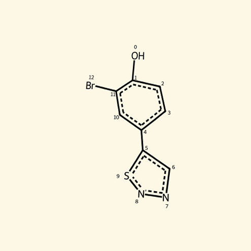 Oc1ccc(-c2cnns2)cc1Br